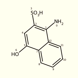 Nc1c(S(=O)(=O)O)cc(O)c2ccccc12